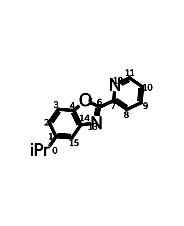 CC(C)c1ccc2oc(-c3ccccn3)nc2c1